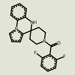 O=C(c1c(F)cccc1F)N1CCC2(CC1)Nc1ccccc1-n1cccc12